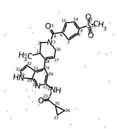 CC1CN(C(=O)c2ccc(S(C)(=O)=O)cc2)CC=C1c1cc(NC(=O)C2CC2)nc2[nH]ccc12